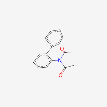 CC(=O)N(C(C)=O)c1ccccc1-c1ccccc1